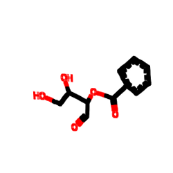 O=CC(OC(=O)c1ccccc1)C(O)CO